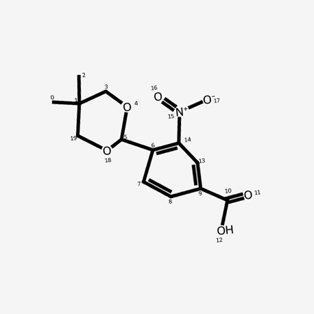 CC1(C)COC(c2ccc(C(=O)O)cc2[N+](=O)[O-])OC1